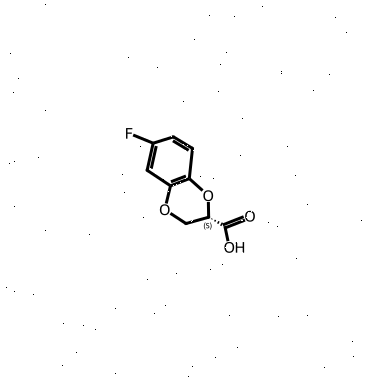 O=C(O)[C@@H]1COc2cc(F)ccc2O1